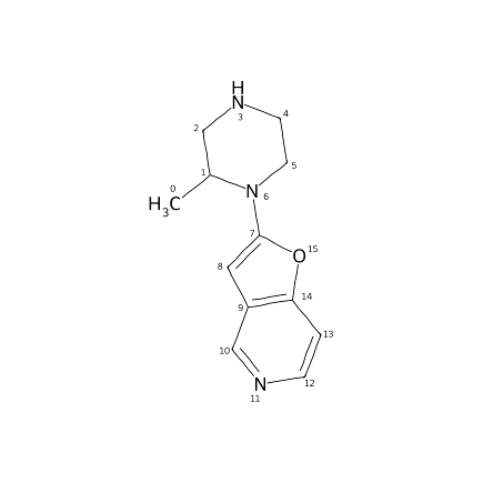 CC1CNCCN1c1cc2cnccc2o1